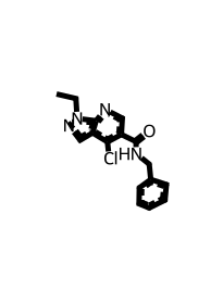 CCn1ncc2c(Cl)c(C(=O)NCc3ccccc3)cnc21